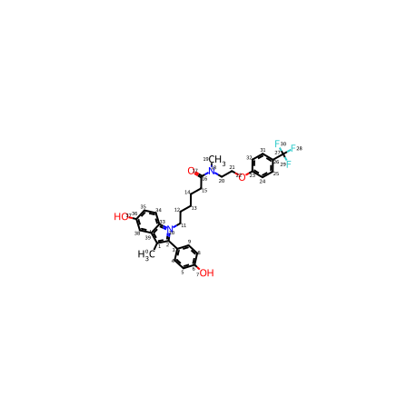 Cc1c(-c2ccc(O)cc2)n(CCCCCC(=O)N(C)CCOc2ccc(C(F)(F)F)cc2)c2ccc(O)cc12